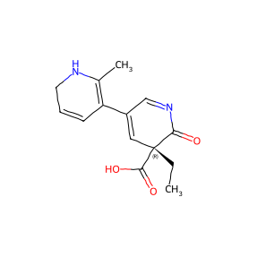 CC[C@@]1(C(=O)O)C=C(C2=C(C)NCC=C2)C=NC1=O